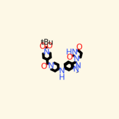 Cn1nc(N2CCC(=O)NC2=O)c2ccc(NC3CCN(C(=O)C4CCN(C(=O)OC(C)(C)C)CC4)CC3)cc21